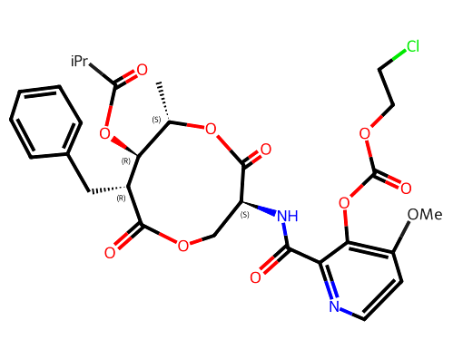 COc1ccnc(C(=O)N[C@H]2COC(=O)[C@H](Cc3ccccc3)[C@@H](OC(=O)C(C)C)[C@H](C)OC2=O)c1OC(=O)OCCCl